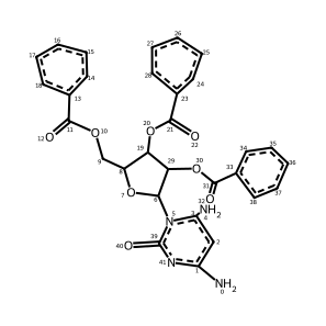 Nc1cc(N)n(C2OC(COC(=O)c3ccccc3)C(OC(=O)c3ccccc3)C2OC(=O)c2ccccc2)c(=O)n1